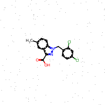 Cc1ccc2c(c1)c(C(=O)O)nn2Cc1ccc(Cl)cc1Cl